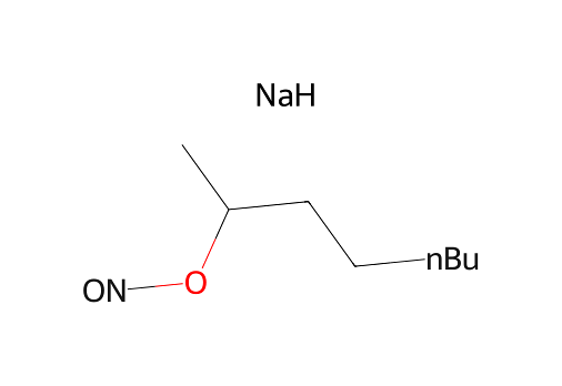 CCCCCCC(C)ON=O.[NaH]